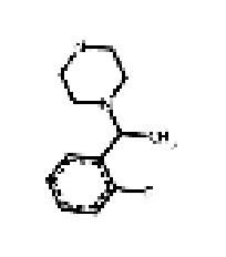 CC(c1ccccc1F)N1CC[N]CC1